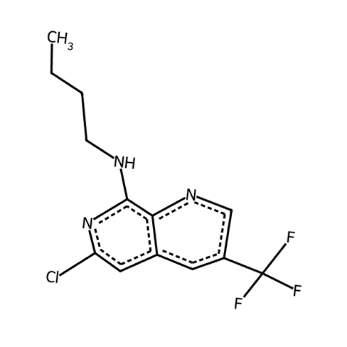 CCCCNc1nc(Cl)cc2cc(C(F)(F)F)cnc12